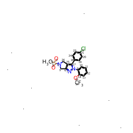 CS(=O)(=O)N1Cc2nn(-c3ccccc3OC(F)(F)F)c(-c3ccc(Cl)cc3)c2C1